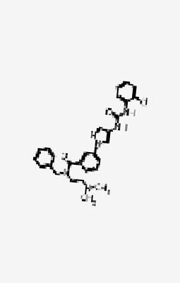 CN(C)CCN(Cc1ccccc1)C(=O)c1cccc(-n2cc(NC(=O)Nc3ccccc3Cl)cn2)c1